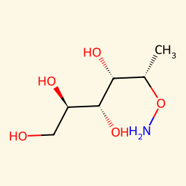 C[C@H](ON)[C@@H](O)[C@H](O)[C@H](O)CO